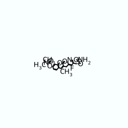 Cc1c(Cc2cncc(CS(N)(=O)=O)c2F)c(=O)oc2cc(OC(=O)N(C)C)ccc12